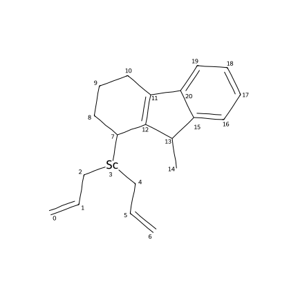 C=C[CH2][Sc]([CH2]C=C)[CH]1CCCC2=C1C(C)c1ccccc12